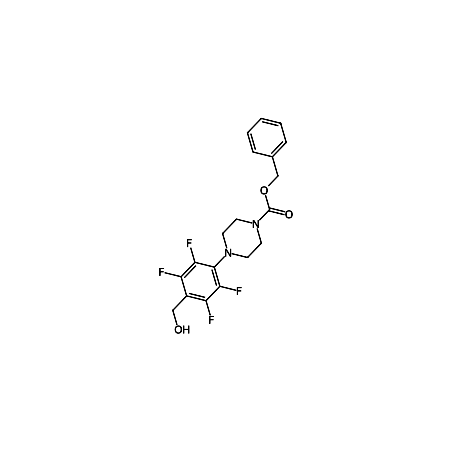 O=C(OCc1ccccc1)N1CCN(c2c(F)c(F)c(CO)c(F)c2F)CC1